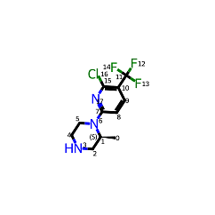 C[C@H]1CNCCN1c1ccc(C(F)(F)F)c(Cl)n1